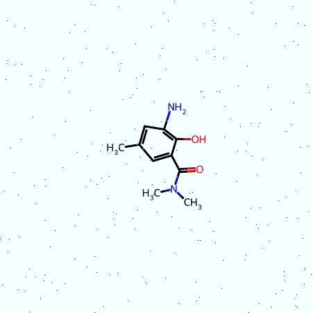 Cc1cc(N)c(O)c(C(=O)N(C)C)c1